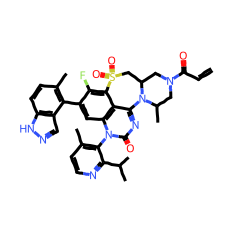 C=CC(=O)N1CC(C)N2c3nc(=O)n(-c4c(C)ccnc4C(C)C)c4cc(-c5c(C)ccc6[nH]ncc56)c(F)c(c34)S(=O)(=O)CC2C1